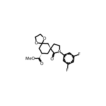 COC(=O)[C@@H]1CC2(C[C@]3(CCN(c4cc(F)cc(F)c4)C3=O)C1)OCCO2